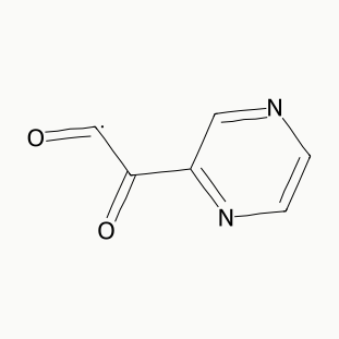 O=[C]C(=O)c1cnccn1